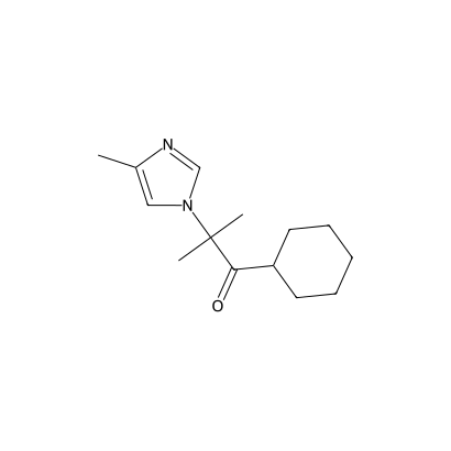 Cc1cn(C(C)(C)C(=O)C2CCCCC2)cn1